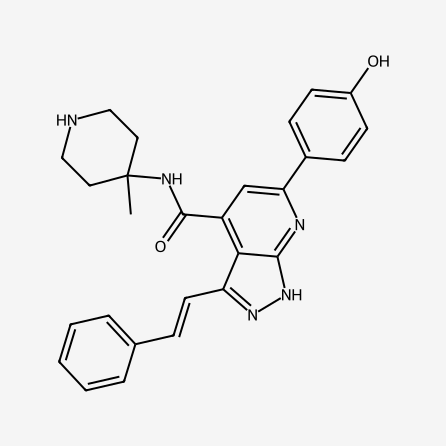 CC1(NC(=O)c2cc(-c3ccc(O)cc3)nc3[nH]nc(/C=C/c4ccccc4)c23)CCNCC1